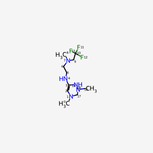 CN1C=C(NCCN(C)CC(F)(F)F)NN(C)C1